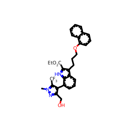 CCOC(=O)c1[nH]c2c(-c3c(CO)nn(C)c3C(F)(F)F)cccc2c1CCCOc1cccc2ccccc12